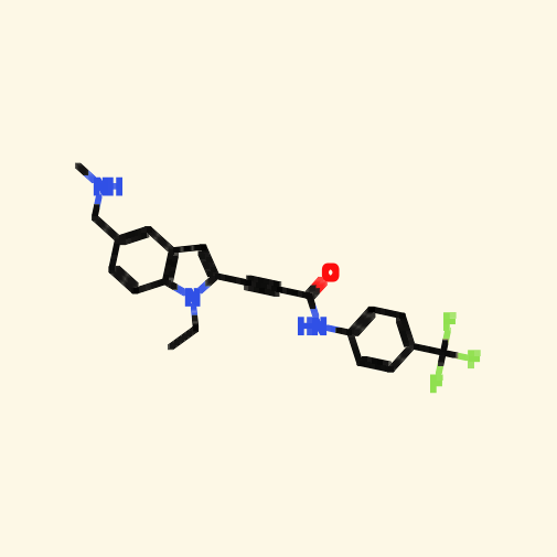 CCn1c(C#CC(=O)Nc2ccc(C(F)(F)F)cc2)cc2cc(CNC)ccc21